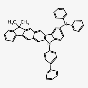 CC1(C)c2ccccc2-c2cc3cc4c(cc3cc21)c1cc(N(c2ccccc2)c2ccccc2)ccc1n4-c1ccc(-c2ccccc2)cc1